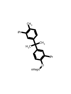 CCCCCCCOc1ccc(C(C)(C)c2ccc(C)c(C(C)C)c2)cc1C(C)C